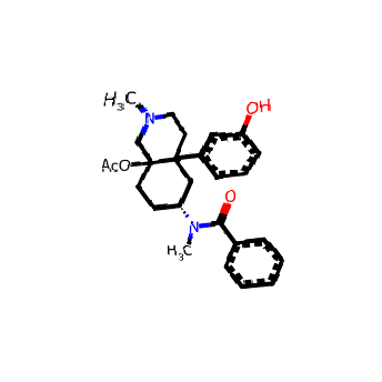 CC(=O)OC12CC[C@@H](N(C)C(=O)c3ccccc3)CC1(c1cccc(O)c1)CCN(C)C2